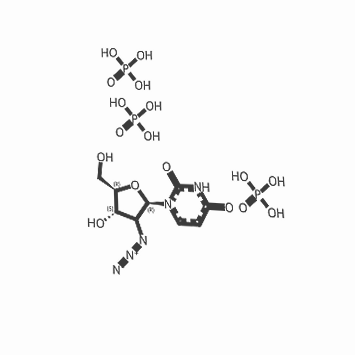 O=P(O)(O)O.O=P(O)(O)O.O=P(O)(O)O.[N-]=[N+]=NC1[C@H](n2ccc(=O)[nH]c2=O)O[C@H](CO)[C@H]1O